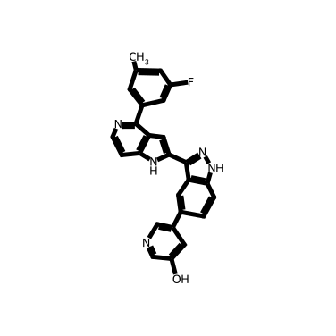 Cc1cc(F)cc(-c2nccc3[nH]c(-c4n[nH]c5ccc(-c6cncc(O)c6)cc45)cc23)c1